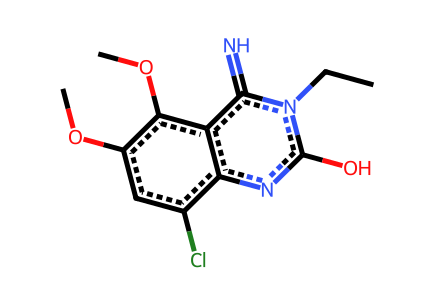 CCn1c(O)nc2c(Cl)cc(OC)c(OC)c2c1=N